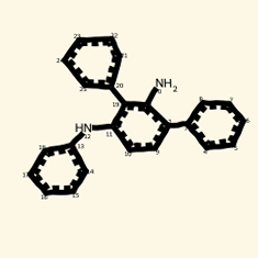 Nc1c(-c2ccccc2)ccc(Nc2ccccc2)c1-c1ccccc1